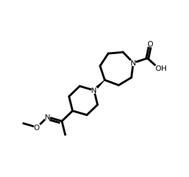 CO/N=C(\C)C1CCN([C@H]2CCCN(C(=O)O)CC2)CC1